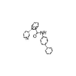 O=C(Nc1ccc(-c2ccccc2)cc1)c1c(-c2cccnc2)c2ccc1o2